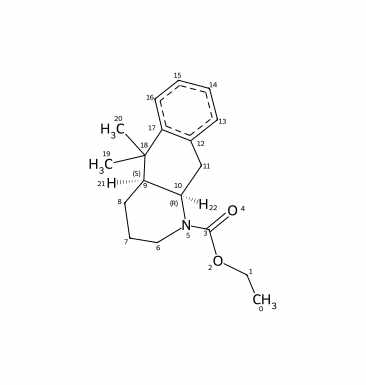 CCOC(=O)N1CCC[C@@H]2[C@H]1Cc1ccccc1C2(C)C